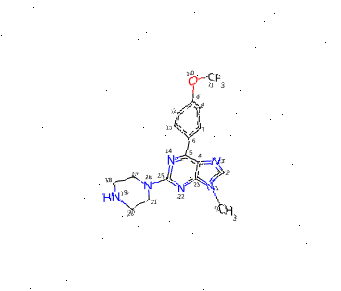 Cn1cnc2c(-c3ccc(OC(F)(F)F)cc3)nc(N3CCNCC3)nc21